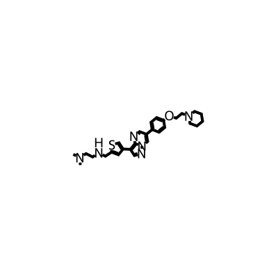 CN(C)CCNCc1cc(-c2cnn3cc(-c4ccc(OCCN5CCCCC5)cc4)cnc23)cs1